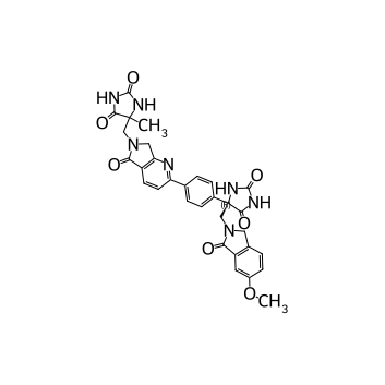 COc1ccc2c(c1)C(=O)N(C[C@@]1(c3ccc(-c4ccc5c(n4)CN(CC4(C)NC(=O)NC4=O)C5=O)cc3)NC(=O)NC1=O)C2